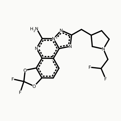 Nc1nc2c3c(ccc2c2nc(CC4CCN(CC(F)F)C4)nn12)OC(F)(F)O3